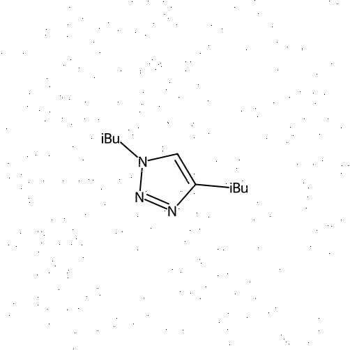 CCC(C)c1cn(C(C)CC)nn1